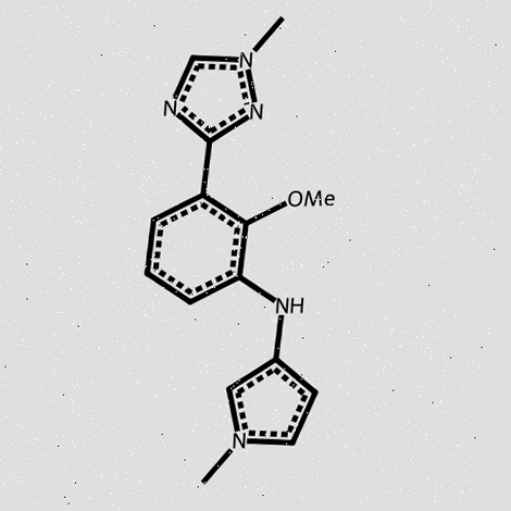 COc1c(Nc2ccn(C)c2)cccc1-c1ncn(C)n1